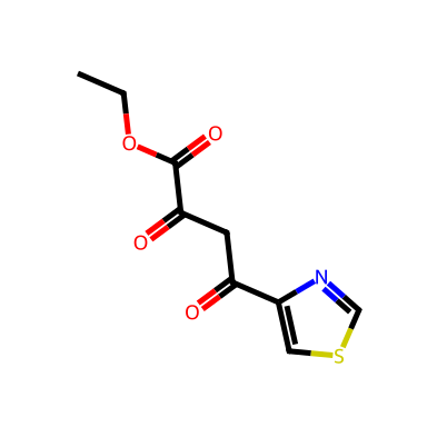 CCOC(=O)C(=O)CC(=O)c1cscn1